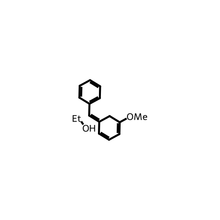 CCO.COC1=CC=CC(=Cc2ccccc2)C1